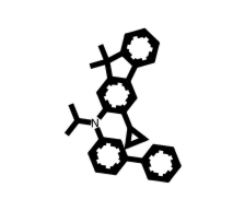 CC(C)N(c1cccc(-c2ccccc2)c1)c1cc2c(cc1C1CC1)-c1ccccc1C2(C)C